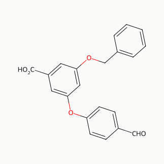 O=Cc1ccc(Oc2cc(OCc3ccccc3)cc(C(=O)O)c2)cc1